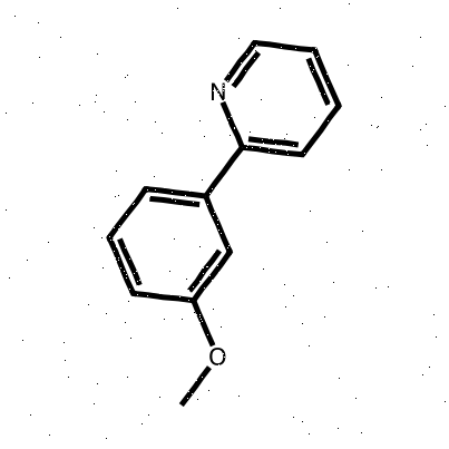 COc1cccc(-c2ccccn2)c1